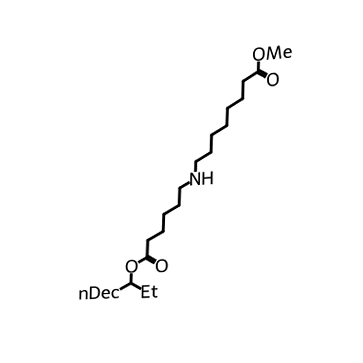 CCCCCCCCCCC(CC)OC(=O)CCCCCNCCCCCCCC(=O)OC